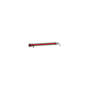 CCC(C)C(=O)OCCCOCCCOCCCOCCCOCCCOCCCOCCCOCCCOCCCOCCCOCCCOCCCOCCCOCCCOCCCOCCCOCCCOCCCOCCCOCCCOC